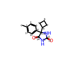 Cc1ccc(C2(C3CCC3)NC(=O)NC2=O)cc1